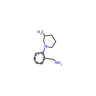 CC1CCCN(c2ccccc2CN)C1